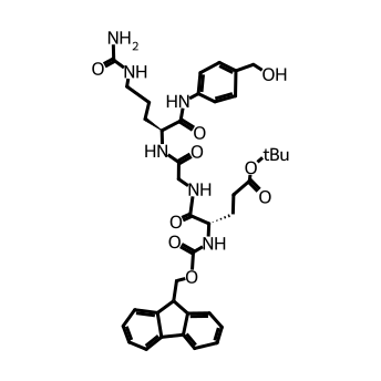 CC(C)(C)OC(=O)CC[C@H](NC(=O)OCC1c2ccccc2-c2ccccc21)C(=O)NCC(=O)N[C@@H](CCCNC(N)=O)C(=O)Nc1ccc(CO)cc1